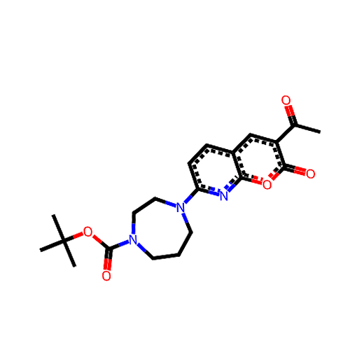 CC(=O)c1cc2ccc(N3CCCN(C(=O)OC(C)(C)C)CC3)nc2oc1=O